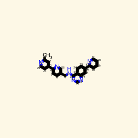 Cc1cc(-c2ccc(CNc3ncnc4cc(-c5ccccn5)ccc34)cn2)ccn1